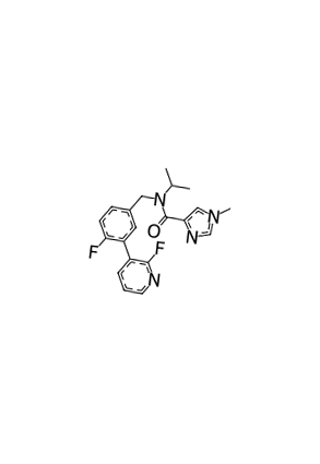 CC(C)N(Cc1ccc(F)c(-c2cccnc2F)c1)C(=O)c1cn(C)cn1